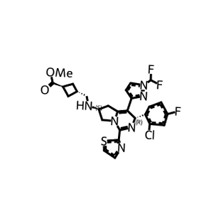 COC(=O)[C@H]1C[C@H](CN[C@H]2CC3=C(c4ccn(C(F)F)n4)[C@H](c4ccc(F)cc4Cl)N=C(c4nccs4)N3C2)C1